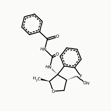 C[C@@H]1OC[C@@H](CO)[C@]1(NC(=O)NC(=O)c1ccccc1)c1ccccc1F